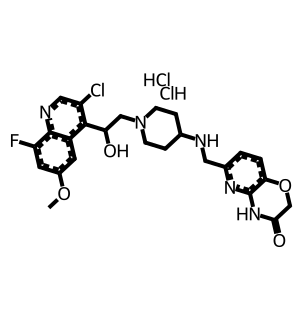 COc1cc(F)c2ncc(Cl)c(C(O)CN3CCC(NCc4ccc5c(n4)NC(=O)CO5)CC3)c2c1.Cl.Cl